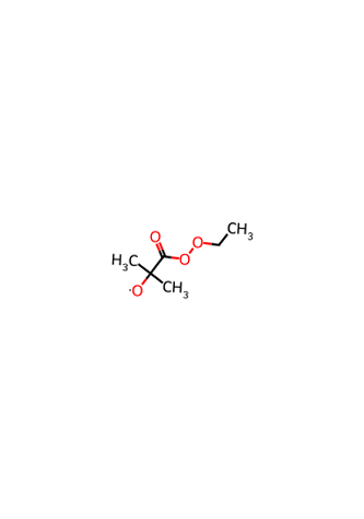 CCOOC(=O)C(C)(C)[O]